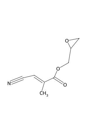 CC(=CC#N)C(=O)OCC1CO1